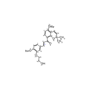 COc1ccc(/C=C/C(=O)c2ccc(OC)c3c2OC(C)(C)C=C3)cc1OCCO